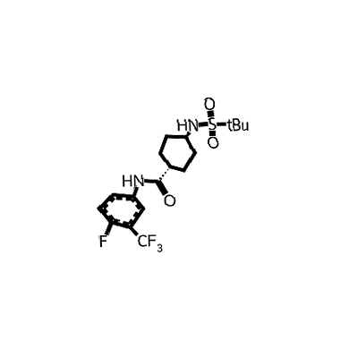 CC(C)(C)S(=O)(=O)N[C@H]1CC[C@H](C(=O)Nc2ccc(F)c(C(F)(F)F)c2)CC1